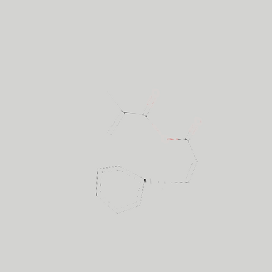 C=C(C)C(=O)OC(=O)/C=C\C(=O)O.c1ccccc1